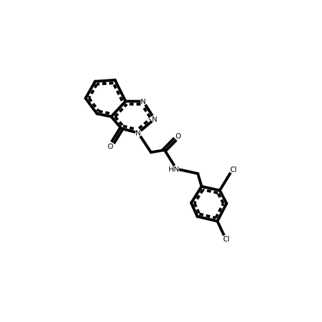 O=C(Cn1nnc2ccccc2c1=O)NCc1ccc(Cl)cc1Cl